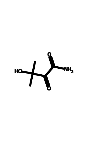 CC(C)(O)C(=O)C(N)=O